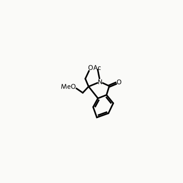 COCC1(COC(C)=O)c2ccccc2C(=O)N1C